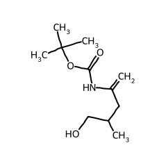 C=C(CC(C)CO)NC(=O)OC(C)(C)C